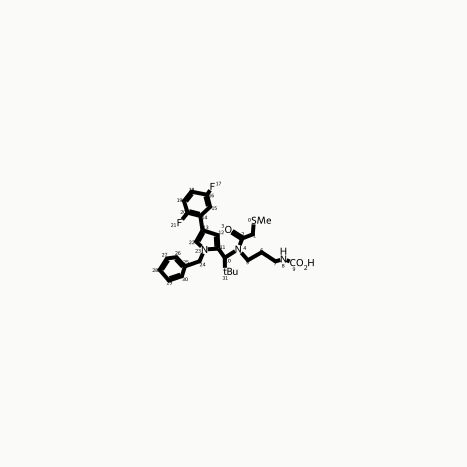 CSCC(=O)N(CCCNC(=O)O)C(c1cc(-c2cc(F)ccc2F)cn1Cc1ccccc1)C(C)(C)C